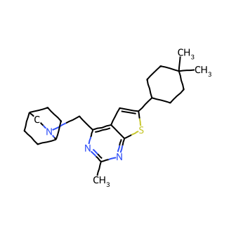 Cc1nc(CN2CC3CCC2CC3)c2cc(C3CCC(C)(C)CC3)sc2n1